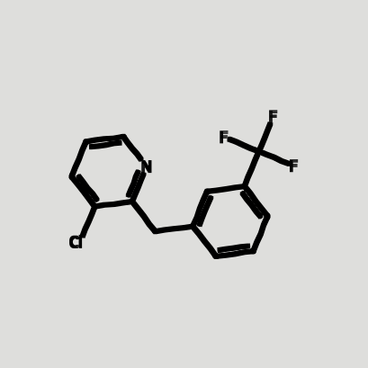 FC(F)(F)c1cccc(Cc2ncccc2Cl)c1